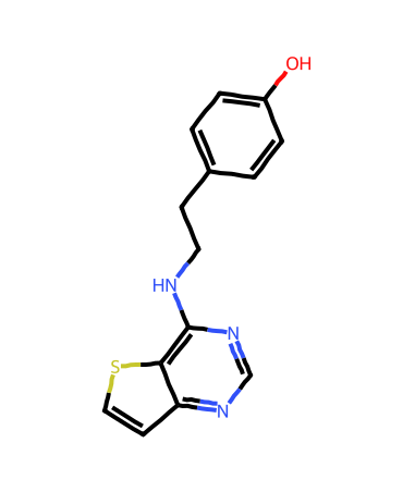 Oc1ccc(CCNc2ncnc3ccsc23)cc1